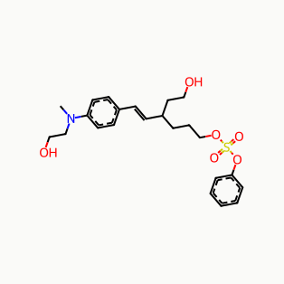 CN(CCO)c1ccc(/C=C/C(CCO)CCCOS(=O)(=O)Oc2ccccc2)cc1